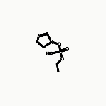 CCOP(=O)(O)ON1C=NCC1